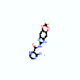 Nc1nccnc1C(=O)Nc1nc2cc3c(cc2[nH]1)OC(F)(F)O3